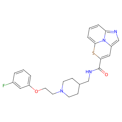 O=C(NCC1CCN(CCOc2cccc(F)c2)CC1)C1=Cc2cnc3cccc(n23)S1